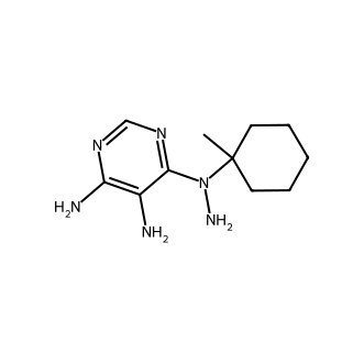 CC1(N(N)c2ncnc(N)c2N)CCCCC1